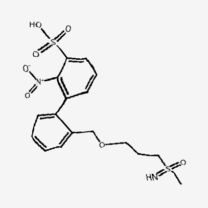 CS(=N)(=O)CCCOCc1ccccc1-c1cccc(S(=O)(=O)O)c1[N+](=O)[O-]